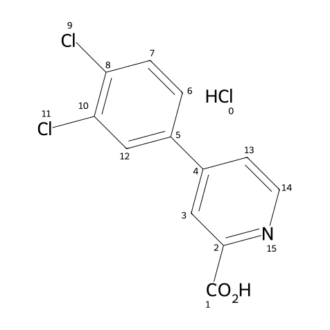 Cl.O=C(O)c1cc(-c2ccc(Cl)c(Cl)c2)ccn1